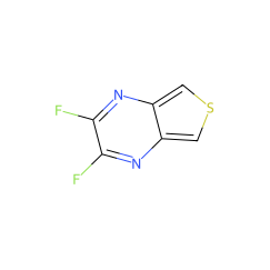 Fc1nc2cscc2nc1F